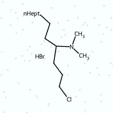 Br.CCCCCCCCCC(CCCCl)N(C)C